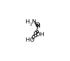 CC12CCC(O)CC1CCC1C2CCC2(C)C(CCc3cc(CCN)on3)CCC12O